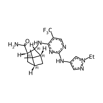 CCn1cc(Nc2ncc(C(F)(F)F)c(N[C@H]3[C@@H](C(N)=O)C[C@H]4C[C@@H]3C4(C)C)n2)cn1